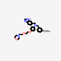 COc1cccc(CN(Cc2ccc3nc[nH]c3c2)c2ccc(OCCOCCN3CCOCC3)cc2)c1